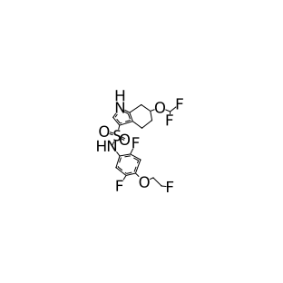 O=S(=O)(Nc1cc(F)c(OCCF)cc1F)c1c[nH]c2c1CCC(OC(F)F)C2